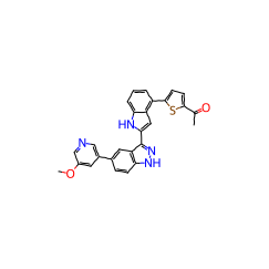 COc1cncc(-c2ccc3[nH]nc(-c4cc5c(-c6ccc(C(C)=O)s6)cccc5[nH]4)c3c2)c1